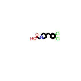 O=C(O)CN1CCC(Cc2ccc(Cl)c(Cl)c2)CC1